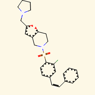 O=S(=O)(c1ccc(/C=C\c2ccccc2)cc1Cl)N1CCc2oc(CN3CCCC3)cc2C1